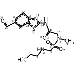 CCCNCS(=O)(=O)N(C)CC(=O)Nc1nc2ccc(C=O)cc2s1